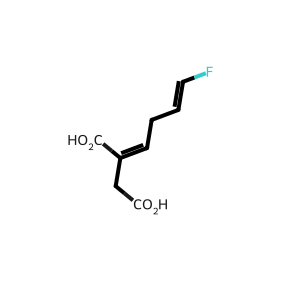 O=C(O)CC(=CCC=CF)C(=O)O